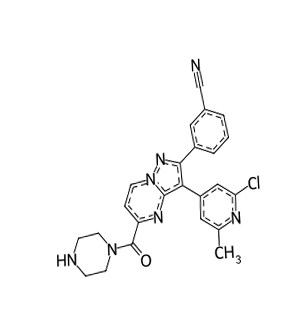 Cc1cc(-c2c(-c3cccc(C#N)c3)nn3ccc(C(=O)N4CCNCC4)nc23)cc(Cl)n1